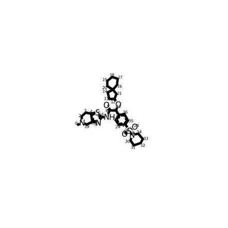 CN1CCc2sc(NC(=O)C(OC3CCC4(CCCCC4)C3)c3ccc(S(=O)(=O)N4CCCCC4)cc3)nc2C1